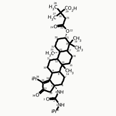 CC(C)NC(=O)N[C@@]12CCC3C(CCC4C3(C)CCC3C(C)(C)[C@@H](OC(=O)CC(C)(C)C(=O)O)CC[C@]43C)C1=C(C(C)C)C(=O)C2